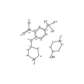 CN1CCC(O)CC1.CN1CCC(Oc2ccc(C(F)(F)F)cc2[N+](=O)[O-])CC1